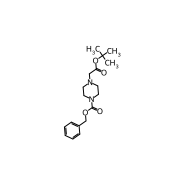 CC(C)(C)OC(=O)CN1CCN(C(=O)OCc2ccccc2)CC1